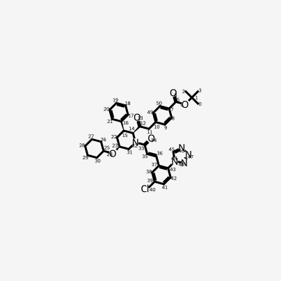 CC(C)(C)OC(=O)c1ccc(CC(=O)[C@@H]2[C@H](c3ccccc3)C[C@H](OC3CCCCC3)CN2C(=O)/C=C/c2cc(Cl)ccc2-n2cnnn2)cc1